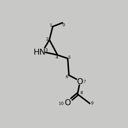 CCC1NC1CCOC(C)=O